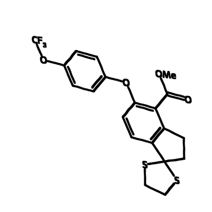 COC(=O)c1c(Oc2ccc(OC(F)(F)F)cc2)ccc2c1CCC21SCCS1